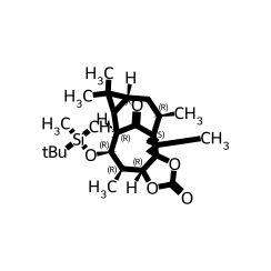 CC1=C[C@@]23C(=O)[C@H](C4[C@@H](C[C@H]2C)C4(C)C)[C@H](O[Si](C)(C)C(C)(C)C)[C@H](C)[C@H]2OC(=O)OC23C1